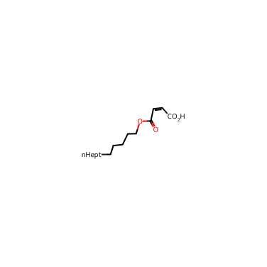 CCCCCCCCCCCCOC(=O)/C=C\C(=O)O